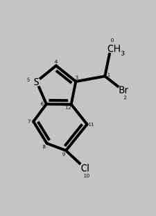 CC(Br)c1csc2ccc(Cl)cc12